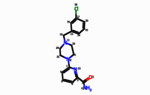 NC(=O)c1[c]ccc(N2CCN(Cc3cccc(Cl)c3)CC2)n1